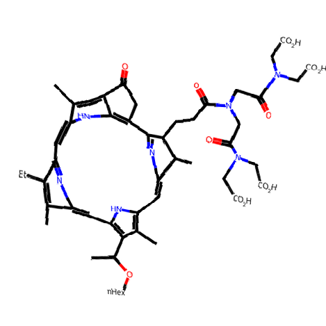 CCCCCCOC(C)c1c(C)c2cc3nc(c4c5[nH]c(cc6nc(cc1[nH]2)C(C)=C6CC)c(C)c5C(=O)C4)C(CCC(=O)N(CC(=O)N(CC(=O)O)CC(=O)O)CC(=O)N(CC(=O)O)CC(=O)O)C3C